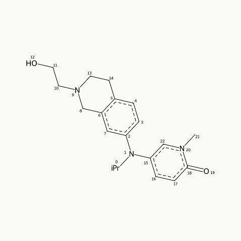 CC(C)N(c1ccc2c(c1)CN(CCO)CC2)c1ccc(=O)n(C)c1